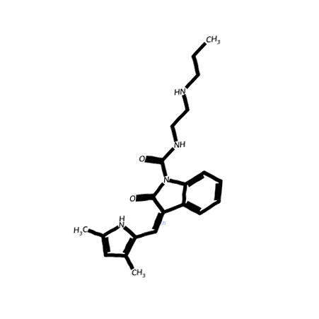 CCCNCCNC(=O)N1C(=O)/C(=C\c2[nH]c(C)cc2C)c2ccccc21